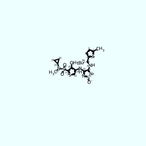 Cc1ccc([C@H](Nc2n[s+]([O-])nc2Nc2csc(S(=O)(=O)N(C)C3CC3)c2O)C(C)(C)C)s1